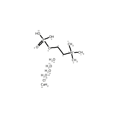 C[N+](C)(C)CCOP(=O)(O)O.O.O.O.O.[CaH2].[Cl-]